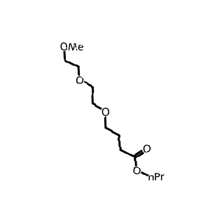 CCCOC(=O)CCCOCCOCCOC